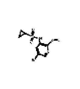 CCOc1ncc(Br)cc1NS(=O)(=O)C1CC1